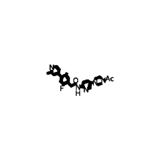 CC(=O)N1CCN(c2ccc(NC(=O)Cc3cc(C)c(-c4ccnc(C)c4)cc3F)nc2)CC1